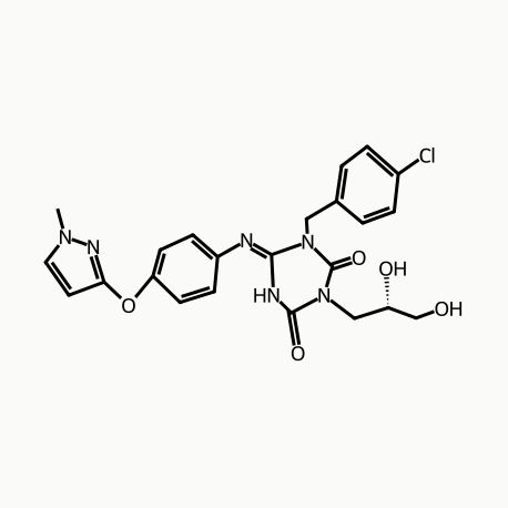 Cn1ccc(Oc2ccc(/N=c3\[nH]c(=O)n(C[C@H](O)CO)c(=O)n3Cc3ccc(Cl)cc3)cc2)n1